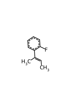 CC=C(C)c1ccccc1F